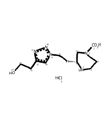 Cl.O=C(O)N1CCN[C@H](CCn2cc(CCO)nn2)C1